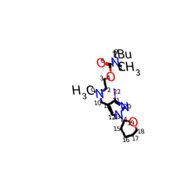 CN(CCOC(=O)N(C)C(C)(C)C)Cc1cn(C2CCCCO2)nc1I